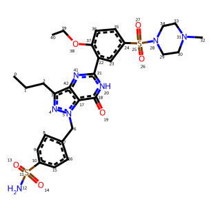 CCCc1nn(Cc2ccc(S(N)(=O)=O)cc2)c2c(=O)[nH]c(-c3cc(S(=O)(=O)N4CCN(C)CC4)ccc3OCC)nc12